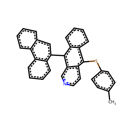 Cc1ccc(Sc2c3ccccc3c(-c3cc4ccccc4c4ccccc34)c3cnccc23)cc1